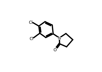 O=C1CCCN1c1ccc(Cl)c(Cl)c1